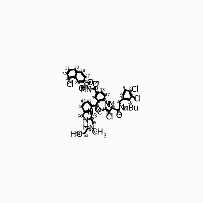 CCCCN(Cc1ccc(Cl)c(Cl)c1)C(=O)c1nn(-c2ccc(C(=O)NS(=O)(=O)c3ccc4cccc(Cl)c4c3)cc2C(=O)c2cccc3c2CC(CN(C)CCO)NC3)c(C)c1Cl